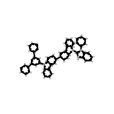 c1ccc(-c2cc(-c3ccccc3)cc(-n3c4ccccc4c4cc(-c5ccc6c(c5)c5ccccc5n6-c5nc6ccccc6n5-c5ccccc5)ccc43)c2)cc1